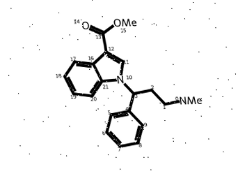 CNCCC(c1ccccc1)n1cc(C(=O)OC)c2ccccc21